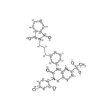 CS(=O)(=O)c1ncc2c(n1)N(c1cccc(CCCN3C(=O)c4ccccc4C3=O)c1)C(=O)N(c1ccc(Cl)cc1Cl)C2